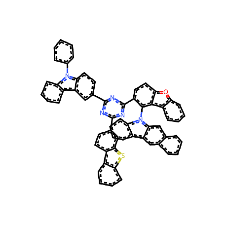 c1ccc(-n2c3ccccc3c3cc(-c4nc(-c5ccc6c(c5)sc5ccccc56)nc(-c5ccc6oc7ccccc7c6c5-n5c6ccccc6c6cc7ccccc7cc65)n4)ccc32)cc1